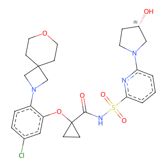 O=C(NS(=O)(=O)c1cccc(N2CC[C@H](O)C2)n1)C1(Oc2cc(Cl)ccc2N2CC3(CCOCC3)C2)CC1